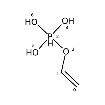 C=CO[PH](O)(O)O